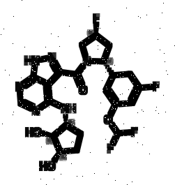 O=C(c1n[nH]c2ncnc(N[C@@H]3CC[C@@H](O)[C@H]3O)c12)N1C[C@@H](F)C[C@@H]1C1C=C(OC(F)F)C=C(F)C1